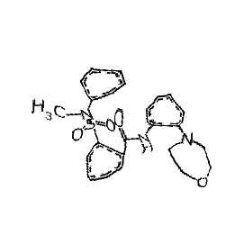 CN(c1ccccc1)S(=O)(=O)c1ccccc1C(=O)Nc1ccccc1N1CCOCC1